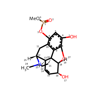 COS(=O)Oc1cc(O)c2c3c1C[C@@H]1[C@@H]4C=C[C@H](O)[C@H](O2)[C@]34CCN1C